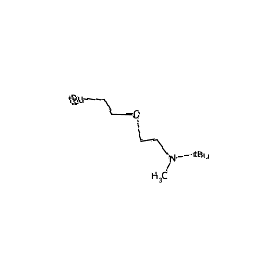 CN(CCOCCC(C)(C)C)C(C)(C)C